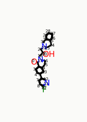 O=C1c2ccc(-c3ccc(F)nc3)cc2CCN1CC(O)CN1CCc2ccccc2C1